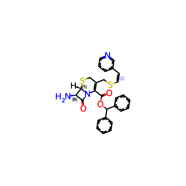 N[C@@H]1C(=O)N2C(C(=O)OC(c3ccccc3)c3ccccc3)=C(CS/C=C\c3cccnc3)CS[C@@H]12